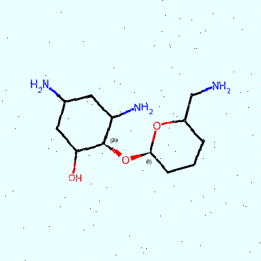 NCC1CCC[C@@H](O[C@@H]2C(N)CC(N)CC2O)O1